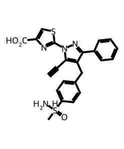 C#Cc1c(Cc2ccc([SH](C)(N)=O)cc2)c(-c2ccccc2)nn1-c1nc(C(=O)O)cs1